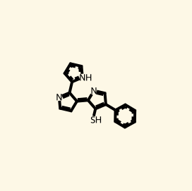 SC1=C(c2ccccc2)C=NC1=C1C=CN=C1c1ccc[nH]1